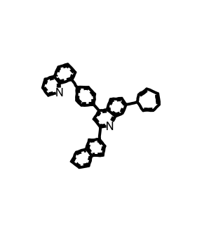 C1=CC=CC(c2ccc3c(-c4ccc(-c5cccc6cccnc56)cc4)cc(-c4ccc5ccccc5c4)nc3c2)C=C1